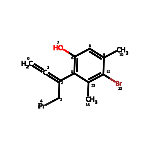 C=C=C(CC(C)C)c1c(O)cc(C)c(Br)c1C